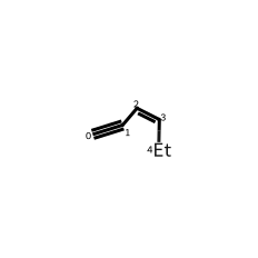 C#C/C=C\C[CH2]